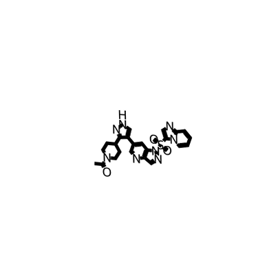 CC(=O)N1CCC(c2n[nH]cc2-c2cnc3cnn(S(=O)(=O)c4cnc5ccccn45)c3c2)CC1